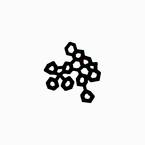 c1ccc(-c2ccc(N(c3cc4c(cc3-c3cccc5c3CCCC5)-c3ccccc3C4(c3ccccc3)c3ccccc3)c3cccc4oc5ccccc5c34)cc2)cc1